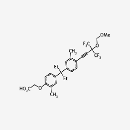 CCC(CC)(c1ccc(C#CC(OCOC)(C(F)(F)F)C(F)(F)F)c(C)c1)c1ccc(OCC(=O)O)c(C)c1